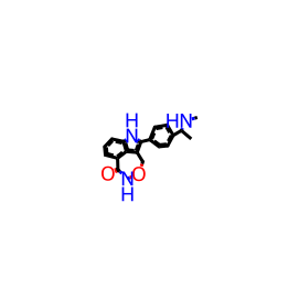 CNC(C)c1ccc(-c2[nH]c3cccc4c3c2CONC4=O)cc1